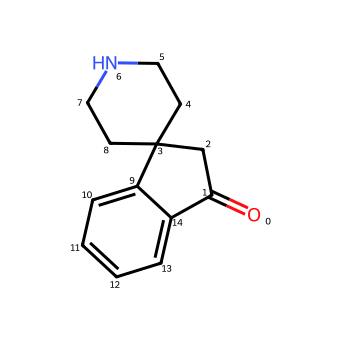 O=C1CC2(CCNCC2)c2ccccc21